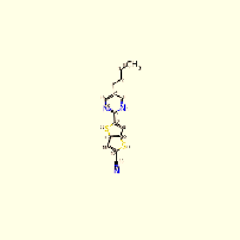 CCCCc1cnc(-c2cc3sc(C#N)cc3s2)nc1